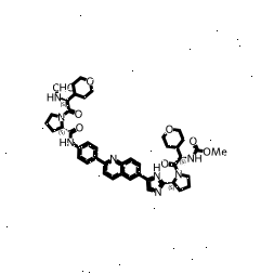 COC(=O)N[C@H](C(=O)N1CCC[C@H]1c1ncc(-c2ccc3nc(-c4ccc(NC(=O)[C@@H]5CCCN5C(=O)[C@@H](NC=O)C5CCOCC5)cc4)ccc3c2)[nH]1)C1CCOCC1